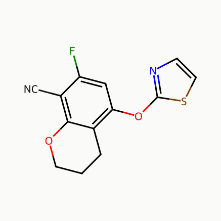 N#Cc1c(F)cc(Oc2nccs2)c2c1OCCC2